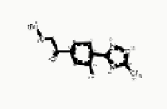 CC(C)(C)OCC(=O)c1ccc(-c2noc(C(F)(F)F)n2)c(F)c1